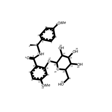 COc1ccc([C@H](C)NC(=O)c2ccc(OC)cc2OC2OC(CO)C(O)C(O)C2O)cc1